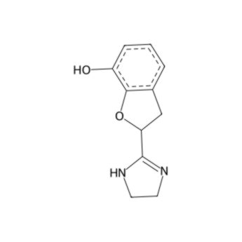 Oc1cccc2c1OC(C1=NCCN1)C2